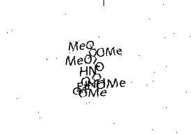 COC(=O)C(F)(F)C(=O)Nc1cc(NC(=O)/C=C/c2c(OC)cc(OC)cc2OC)ccc1OC